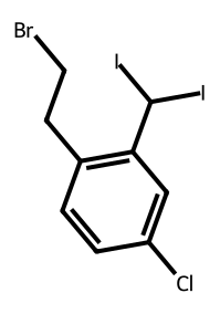 Clc1ccc(CCBr)c(C(I)I)c1